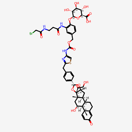 C[C@]12C=CC(=O)C=C1CC[C@@H]1[C@@H]2[C@@H](O)C[C@@]2(C)[C@H]1C[C@H]1O[C@@H](c3ccc(Cc4nc(NC(=O)OCc5ccc(O[C@@H]6O[C@H](C(=O)O)[C@@H](O)[C@H](O)[C@H]6O)c(NC(=O)CCNC(=O)CBr)c5)cs4)cc3)O[C@]12C(=O)CO